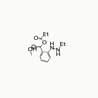 CCNNc1ccccc1C(=O)OC(=O)CC.CO